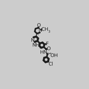 CN1C[C@@H](c2cnc(N)c(-c3ccc(C(=O)N[C@H](CO)c4cccc(Cl)c4)c(F)c3)c2)CCC1=O